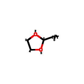 C[CH]CC1OCCO1